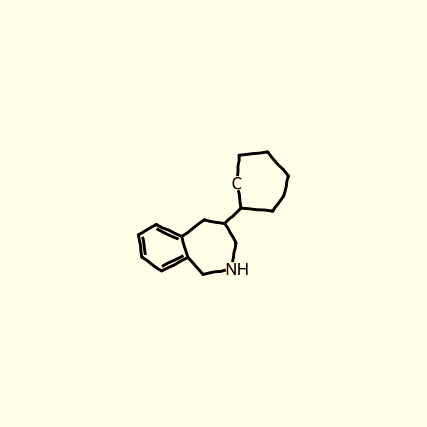 c1ccc2c(c1)CNCC(C1CCCCCC1)C2